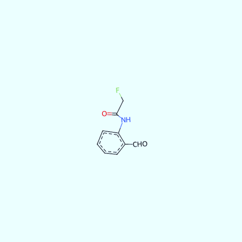 O=Cc1ccccc1NC(=O)CF